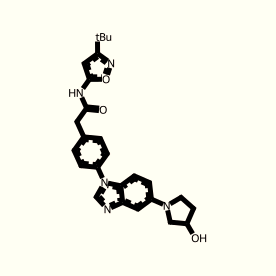 CC(C)(C)c1cc(NC(=O)Cc2ccc(-n3cnc4cc(N5CCC(O)C5)ccc43)cc2)on1